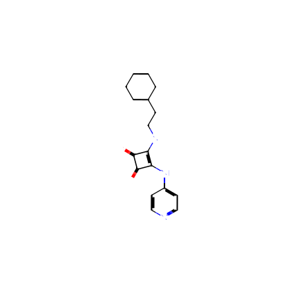 O=c1c(NCCC2CCCCC2)c(Nc2ccncc2)c1=O